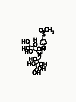 CC(=O)SCc1ccc(OCCN(C[C@H](O)[C@@H](O)[C@H](O)[C@H](O)CO)C[C@H](O)[C@@H](O)[C@H](O)[C@H](O)CO)cc1